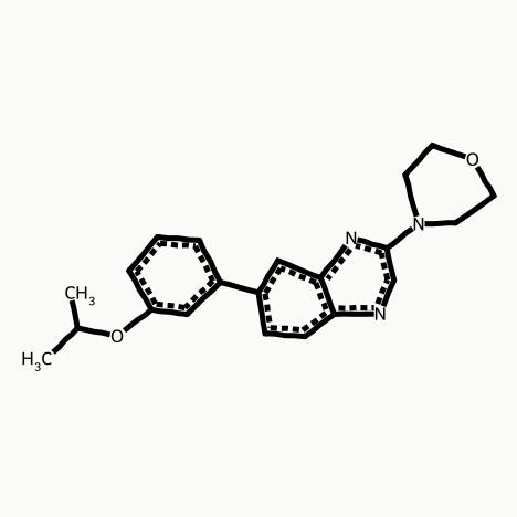 CC(C)Oc1cccc(-c2ccc3ncc(N4CCOCC4)nc3c2)c1